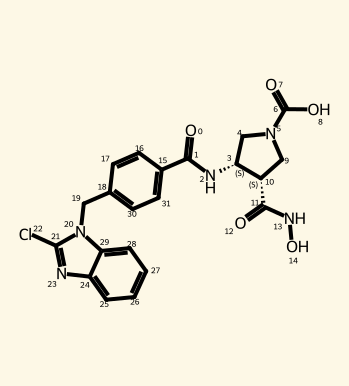 O=C(N[C@@H]1CN(C(=O)O)C[C@@H]1C(=O)NO)c1ccc(Cn2c(Cl)nc3ccccc32)cc1